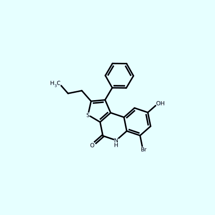 CCCc1sc2c(=O)[nH]c3c(Br)cc(O)cc3c2c1-c1ccccc1